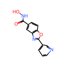 O=C(NO)c1ccc2oc(-c3cccnc3)nc2c1